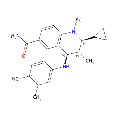 CC(=O)N1c2ccc(C(N)=O)cc2[C@H](Nc2ccc(C#N)c(C)c2)[C@@H](C)[C@@H]1C1CC1